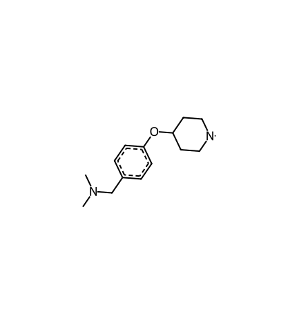 CN(C)Cc1ccc(OC2CC[N]CC2)cc1